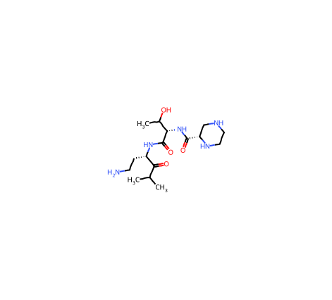 CC(C)C(=O)[C@H](CCN)NC(=O)[C@@H](NC(=O)[C@@H]1CNCCN1)C(C)O